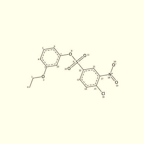 CCOc1cccc(OS(=O)(=O)c2ccc(Cl)c([N+](=O)[O-])c2)c1